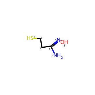 NC(CCS)=NO